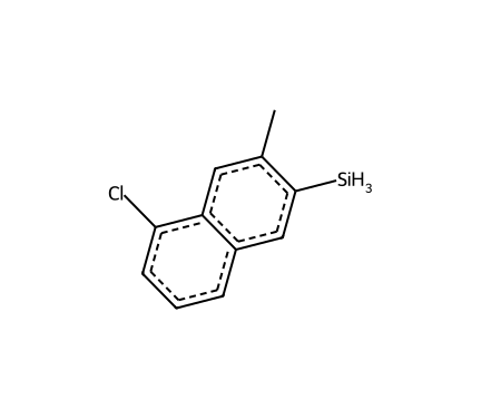 Cc1cc2c(Cl)cccc2cc1[SiH3]